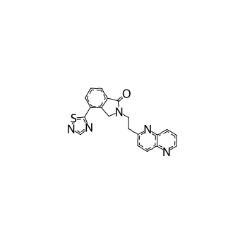 O=C1c2cccc(-c3ncns3)c2CN1CCc1ccc2ncccc2n1